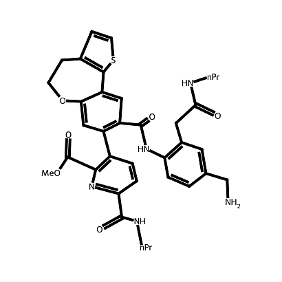 CCCNC(=O)Cc1cc(CN)ccc1NC(=O)c1cc2c(cc1-c1ccc(C(=O)NCCC)nc1C(=O)OC)OCCc1ccsc1-2